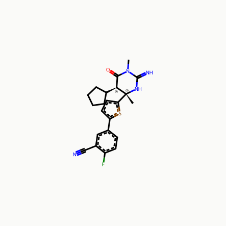 CN1C(=N)N[C@](C)(c2ccc(-c3ccc(F)c(C#N)c3)s2)[C@@H](C2CCCC2)C1=O